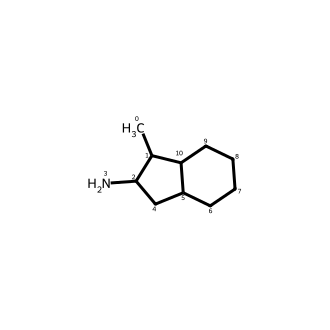 CC1C(N)CC2CCCCC21